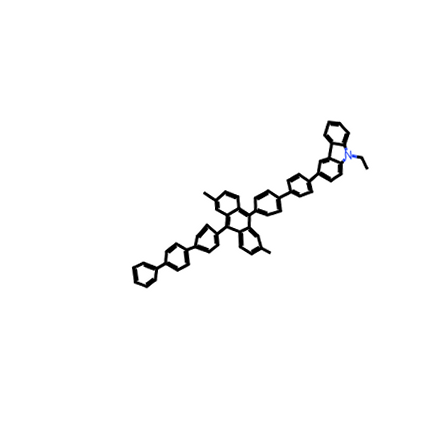 CCn1c2ccccc2c2cc(-c3ccc(-c4ccc(-c5c6ccc(C)cc6c(-c6ccc(-c7ccc(-c8ccccc8)cc7)cc6)c6ccc(C)cc56)cc4)cc3)ccc21